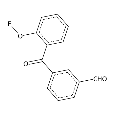 O=Cc1cccc(C(=O)c2ccccc2OF)c1